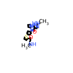 CCNc1ncc(C(=O)Nc2cccc(OC(CCNC)c3cccs3)c2)c(N2CCCC2)n1